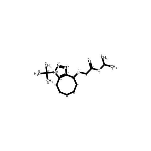 CC(C)OC(=O)COC1CCCCCc2c1nnn2C(C)(C)C